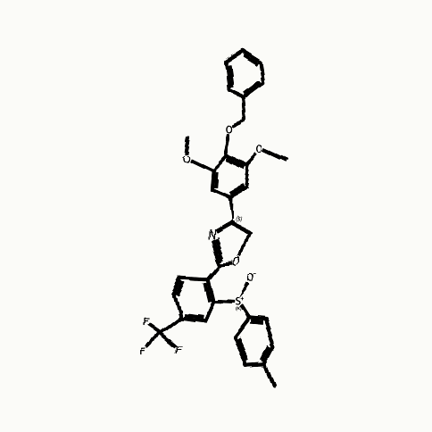 COc1cc([C@H]2COC(c3ccc(C(F)(F)F)cc3[S@@+]([O-])c3ccc(C)cc3)=N2)cc(OC)c1OCc1ccccc1